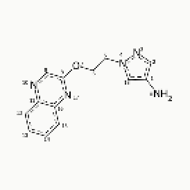 Nc1cnn(CCOc2cnc3ccccc3n2)c1